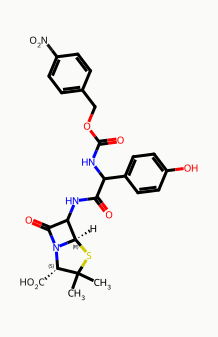 CC1(C)S[C@@H]2C(NC(=O)C(NC(=O)OCc3ccc([N+](=O)[O-])cc3)c3ccc(O)cc3)C(=O)N2[C@H]1C(=O)O